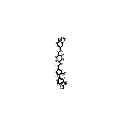 CCCc1ccc(CCC2CCC(CCc3ccc(-c4ccc(Cl)c(F)c4)c(F)c3)CC2)cc1